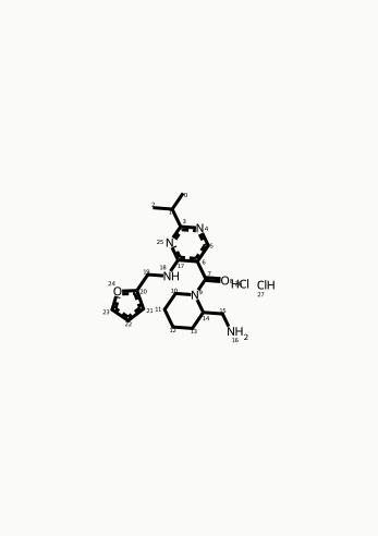 CC(C)c1ncc(C(=O)N2CCCCC2CN)c(NCc2ccco2)n1.Cl.Cl